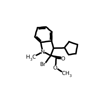 COC(=O)C1(Br)C(C2CCCC2)c2ccccc2N1C